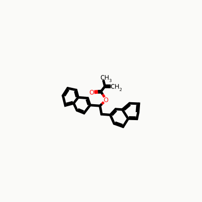 C=C(C)C(=O)OC(Cc1ccc2ccccc2c1)c1ccc2ccccc2c1